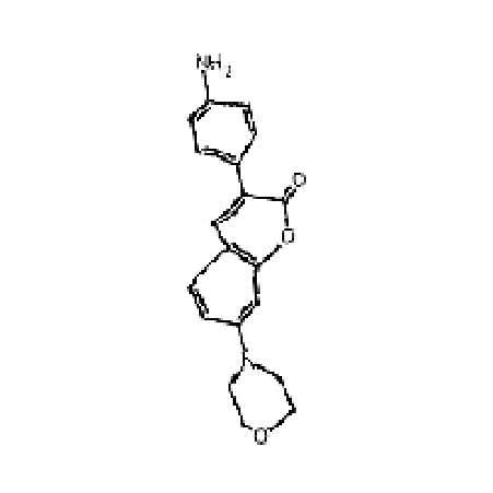 Nc1ccc(-c2cc3ccc(N4CCOCC4)cc3oc2=O)cc1